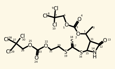 CC(OC(=O)OCC(Cl)(Cl)Cl)C1C(=O)NC1SC(=S)SCCOC(=O)OCC(Cl)(Cl)Cl